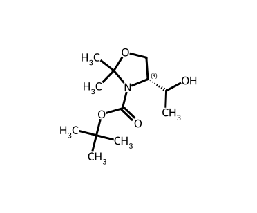 CC(O)[C@H]1COC(C)(C)N1C(=O)OC(C)(C)C